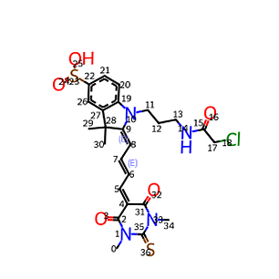 CN1C(=O)C(=C/C=C/C=C2/N(CCCNC(=O)CCl)c3ccc(S(=O)O)cc3C2(C)C)C(=O)N(C)C1=S